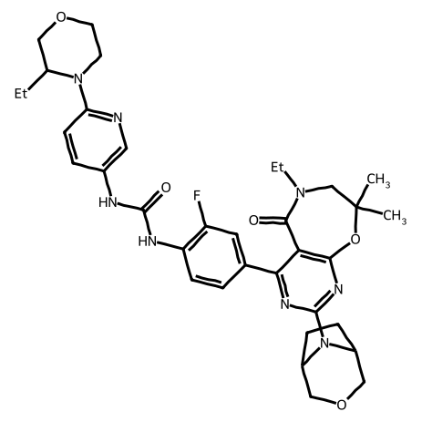 CCC1COCCN1c1ccc(NC(=O)Nc2ccc(-c3nc(N4C5CCC4COC5)nc4c3C(=O)N(CC)CC(C)(C)O4)cc2F)cn1